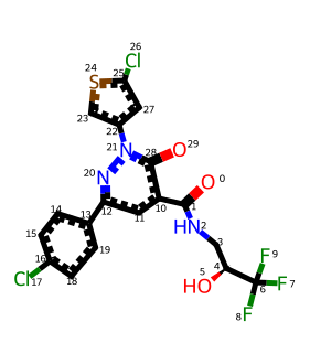 O=C(NC[C@H](O)C(F)(F)F)c1cc(-c2ccc(Cl)cc2)nn(-c2csc(Cl)c2)c1=O